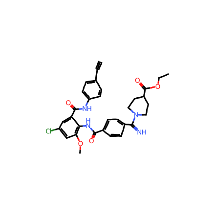 C#Cc1ccc(NC(=O)c2cc(Cl)cc(OC)c2NC(=O)c2ccc(C(=N)N3CCC(C(=O)OCC)CC3)cc2)cc1